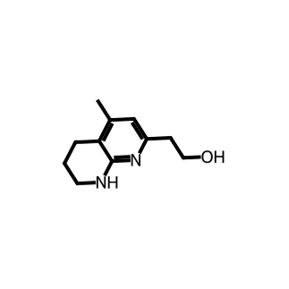 Cc1cc(CCO)nc2c1CCCN2